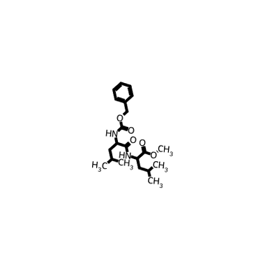 COC(=O)C(CC(C)C)NC(=O)C(CC(C)C)NC(=O)OCc1ccccc1